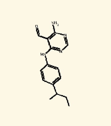 CCC(C)c1ccc(Nc2ncnc(N)c2C=O)cc1